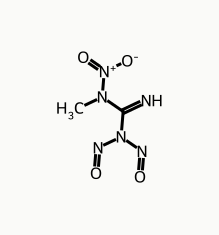 CN(C(=N)N(N=O)N=O)[N+](=O)[O-]